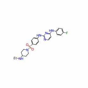 CCNC1CCN(S(=O)(=O)c2ccc(Nc3nccc(Nc4ccc(F)cc4)n3)cc2)CC1